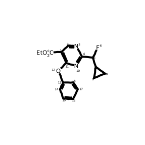 CCOC(=O)c1cnc(C(F)C2CC2)nc1Oc1ccccc1